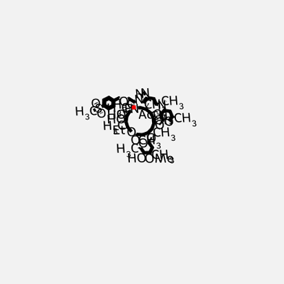 CC[C@H]1OC(=O)[C@H](C)[C@@H](O[C@H]2C[C@@](C)(OC)[C@@H](O)[C@H](C)O2)[C@H](C)[C@@H](O[C@@H]2O[C@H](C)C[C@H](N(C)CCc3cn([C@H](CF)COCc4ccc(S(C)(=O)=O)cc4)nn3)[C@H]2OC(C)=O)[C@](C)(O)C[C@@H](C)CN(C)[C@H](C)[C@@H](O)[C@]1(C)O